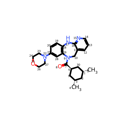 C[C@@H]1C[C@H](C)C[C@@H](C(=O)N2Cc3cccnc3Nc3ccc(N4CCOCC4)cc32)C1